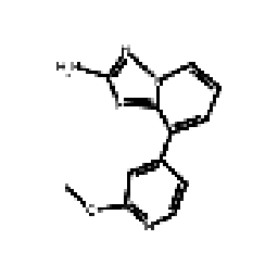 COc1cc(-c2cccn3nc(N)nc23)ccn1